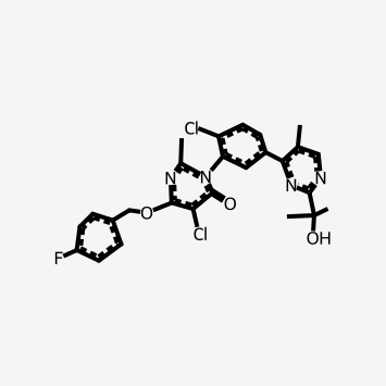 Cc1cnc(C(C)(C)O)nc1-c1ccc(Cl)c(-n2c(C)nc(OCc3ccc(F)cc3)c(Cl)c2=O)c1